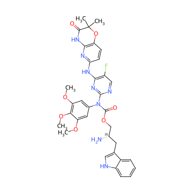 COc1cc(N(C(=O)OC[C@@H](N)Cc2c[nH]c3ccccc23)c2ncc(F)c(Nc3ccc4c(n3)NC(=O)C(C)(C)O4)n2)cc(OC)c1OC